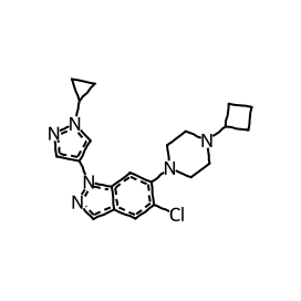 Clc1cc2cnn(-c3cnn(C4CC4)c3)c2cc1N1CCN(C2CCC2)CC1